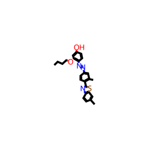 CCCCOc1cc(O)ccc1/N=N/c1ccc(-c2nc3ccc(C)cc3s2)c(C)c1